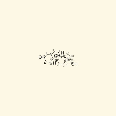 C[C@]12CC[C@H]3[C@@H](CCC4CC(=O)CC[C@@]43O)[C@@H]1CC[C@@H]2O